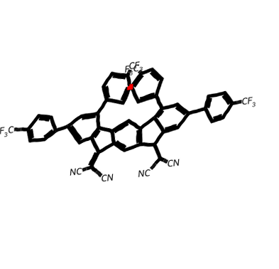 N#CC(C#N)=C1c2cc3c(cc2-c2c1cc(-c1ccc(C(F)(F)F)cc1)cc2-c1ccc(C(F)(F)F)cc1)-c1c(-c2ccc(C(F)(F)F)cc2)cc(-c2ccc(C(F)(F)F)cc2)cc1C3C(C#N)C#N